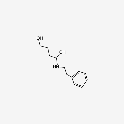 OCCCC(O)NCCc1ccccc1